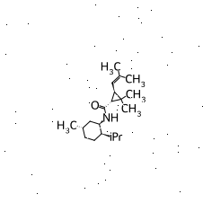 CC(C)=C[C@@H]1[C@@H](C(=O)N[C@@H]2C[C@@H](C)CC[C@@H]2C(C)C)C1(C)C